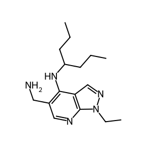 CCCC(CCC)Nc1c(CN)cnc2c1cnn2CC